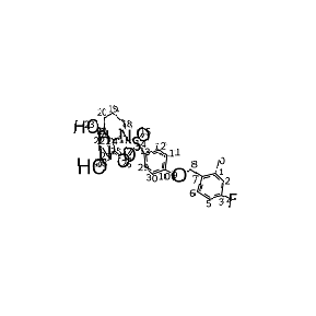 Cc1cc(F)ccc1COc1ccc(S(=O)(=O)N2CCC[C@@](C)(O)C2C(=O)NO)cc1